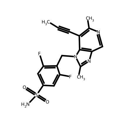 CC#Cc1c(C)ncc2nc(C)n(Cc3c(F)cc(S(N)(=O)=O)cc3F)c12